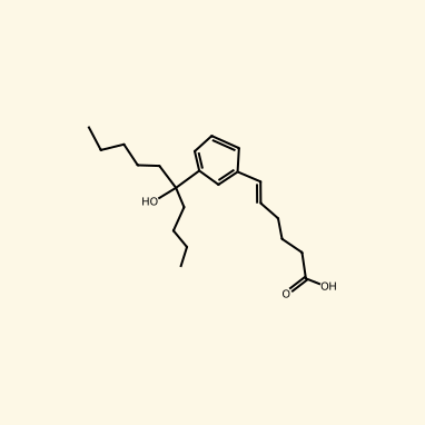 CCCCCC(O)(CCCC)c1cccc(C=CCCCC(=O)O)c1